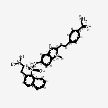 CCN(CC)CCc1ccc2ccccc2c1S(=O)(=O)Nc1ccc2c(c1)nc(CCc1ccc(C(=N)N)cc1)n2C